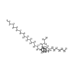 CCCCCCCCCCCCCCCCCCCc1c[nH]c(CCCCCCCCC)[n+]1CCCC